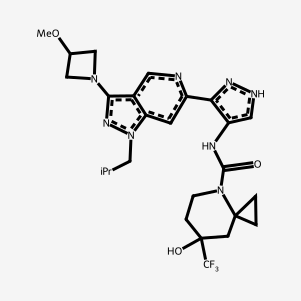 COC1CN(c2nn(CC(C)C)c3cc(-c4n[nH]cc4NC(=O)N4CCC(O)(C(F)(F)F)CC45CC5)ncc23)C1